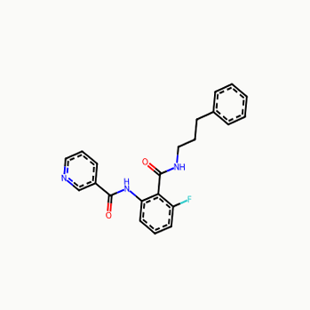 O=C(Nc1cccc(F)c1C(=O)NCCCc1ccccc1)c1cccnc1